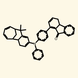 CC1(C)C2=CC(N(c3ccccc3)c3ccc(C4=C5C(=O)c6ccccc6C5CC=C4)cc3)=CCC2C2C=CC=CC1C2